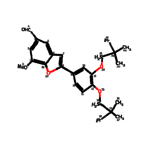 COc1cc(C=O)cc2cc(-c3ccc(O[SiH2]C(C)(C)C(C)C)c(O[SiH2]C(C)(C)C(C)C)c3)oc12